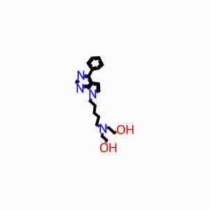 OCCN(CCO)CCCCCn1ccc2c(-c3ccccc3)ncnc21